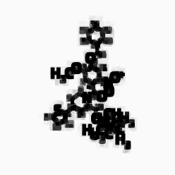 COc1cc(C(=O)N2CCC(c3cccs3)=CC2CO[Si](C)(C)C(C)(C)C)c([N+](=O)[O-])cc1OCc1ccccc1